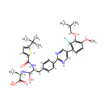 COc1ccc(-c2cnc(-c3ccc(C[C@H](NC(=O)c4ccc(C(C)(C)C)s4)C(O)N[C@H](C)C(=O)O)cc3)nc2)c(F)c1OCC(C)C